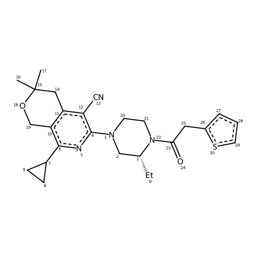 CC[C@@H]1CN(c2nc(C3CC3)c3c(c2C#N)CC(C)(C)OC3)CCN1C(=O)Cc1cccs1